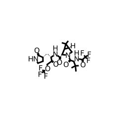 CC(C)(C)[C@H](NC(=O)C(F)(F)F)C(=O)N1C[C@H]2C([C@H]1C(=O)N[C@@H](C[C@@H]1CCNC1=O)C(=O)COC(F)(F)F)C2(C)C